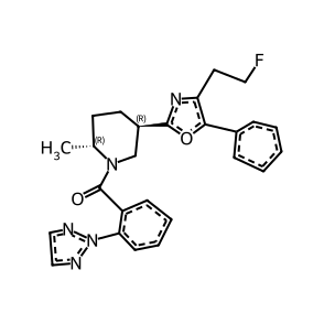 C[C@@H]1CC[C@@H](c2nc(CCF)c(-c3ccccc3)o2)CN1C(=O)c1ccccc1-n1nccn1